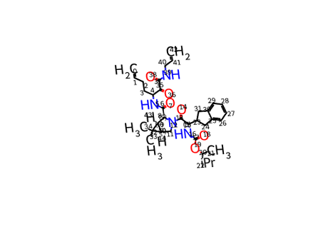 C=CCCC(NC(=O)[C@@H]1[C@H]2[C@@H](CN1C(=O)[C@@H](NC(=O)OC(C)C(C)C)C1Cc3ccccc3C1)C2(C)C)C(=O)C(=O)NCC=C